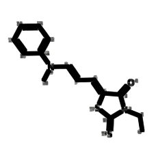 CCN1C(=O)C(=CC=CN(C)c2ccccc2)SC1=S